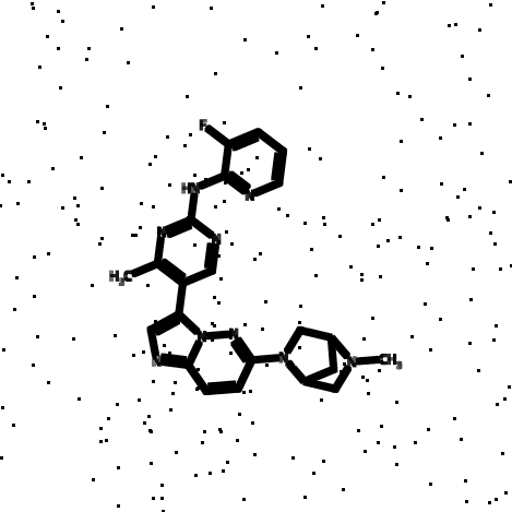 Cc1nc(Nc2ncccc2F)ncc1-c1cnc2ccc(N3CC4CC3CN4C)nn12